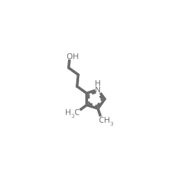 Cc1c[nH]c(CCCO)c1C